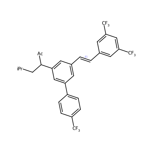 CC(=O)C(CC(C)C)c1cc(/C=C/c2cc(C(F)(F)F)cc(C(F)(F)F)c2)cc(-c2ccc(C(F)(F)F)cc2)c1